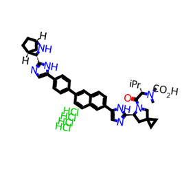 CC(C)[C@@H](C(=O)N1CC2(CC2)C[C@H]1c1ncc(-c2ccc3cc(-c4ccc(-c5cnc([C@H]6N[C@@H]7CC[C@H]6C7)[nH]5)cc4)ccc3c2)[nH]1)N(C)C(=O)O.Cl.Cl.Cl.Cl